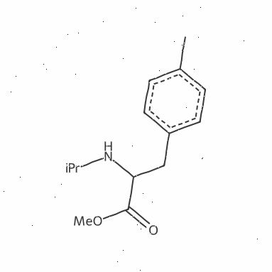 COC(=O)C(Cc1ccc(C)cc1)NC(C)C